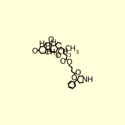 C[C@H](CCC(=O)OCCCC(=O)OC1(c2ccccc2)CCNCC1)[C@H]1CC[C@H]2[C@@H]3C(=O)C[C@@H]4CC(=O)CC[C@]4(C)[C@H]3CC(=O)[C@]12C